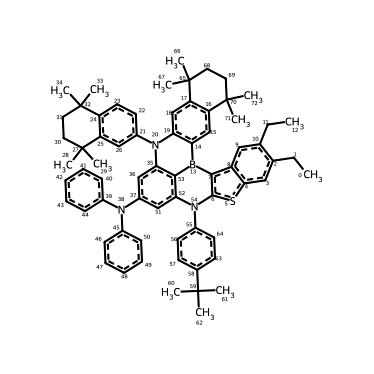 CCc1cc2sc3c(c2cc1CC)B1c2cc4c(cc2N(c2ccc5c(c2)C(C)(C)CCC5(C)C)c2cc(N(c5ccccc5)c5ccccc5)cc(c21)N3c1ccc(C(C)(C)C)cc1)C(C)(C)CCC4(C)C